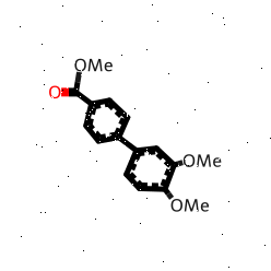 COC(=O)c1ccc(-c2ccc(OC)c(OC)c2)cc1